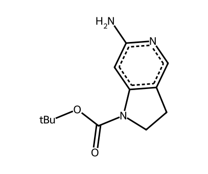 CC(C)(C)OC(=O)N1CCc2cnc(N)cc21